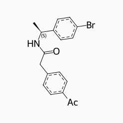 CC(=O)c1ccc(CC(=O)N[C@@H](C)c2ccc(Br)cc2)cc1